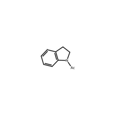 CC(=O)N1CCc2[c]cccc21